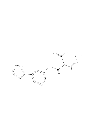 C/N=C(/C)C(C(C)=O)C(=O)Nc1cccc(-c2ccco2)c1